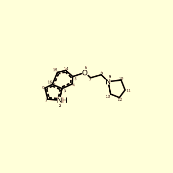 [c]1c[nH]c2cc(OCCN3CCCC3)ccc12